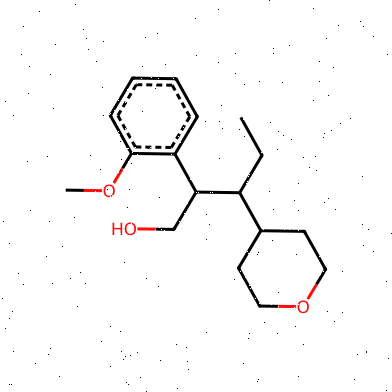 CCC(C1CCOCC1)C(CO)c1ccccc1OC